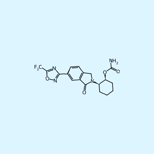 NC(=O)O[C@H]1CCCC[C@H]1N1Cc2ccc(-c3noc(C(F)(F)F)n3)cc2C1=O